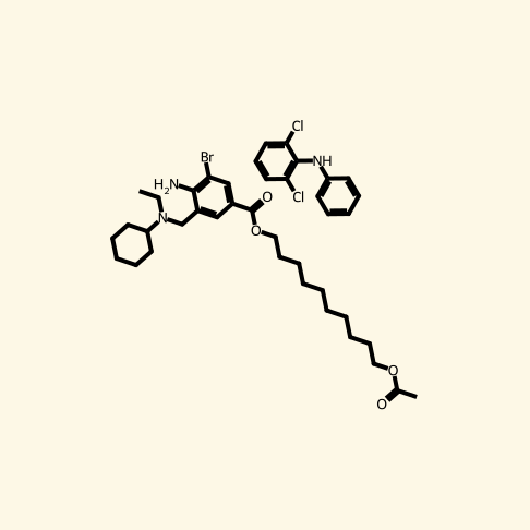 CCN(Cc1cc(C(=O)OCCCCCCCCCCOC(C)=O)cc(Br)c1N)C1CCCCC1.Clc1cccc(Cl)c1Nc1ccccc1